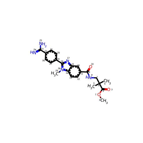 COC(=O)C(C)(C)CNC(=O)c1ccc2c(c1)nc(-c1ccc(C(=N)N)cc1)n2C